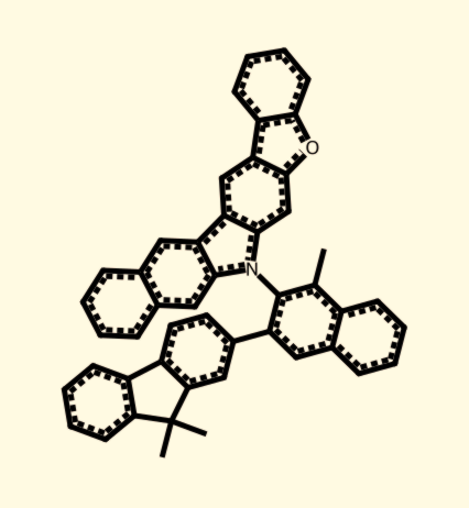 Cc1c(-n2c3cc4ccccc4cc3c3cc4c(cc32)oc2ccccc24)c(-c2ccc3c(c2)C(C)(C)c2ccccc2-3)cc2ccccc12